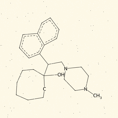 CN1CCN(CC(c2cccc3ccccc23)C2(O)CCCCCCC2)CC1